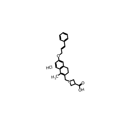 CC1=C(CN2CC(C(=O)O)C2)CCc2cc(OC/C=C/c3ccccc3)ccc21.Cl